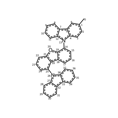 Cc1ccc2c(c1)c1ccccc1n2-c1cccc2c1oc1cccc(-n3c4ccccc4c4ccccc43)c12